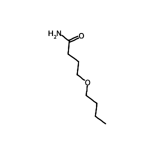 CCCCOCCCC(N)=O